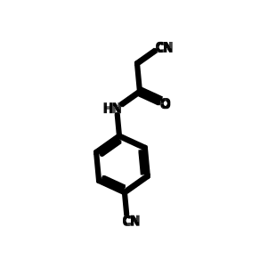 N#CCC(=O)Nc1ccc(C#N)cc1